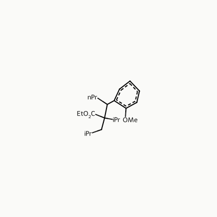 CCCC(c1ccccc1OC)C(CC(C)C)(C(=O)OCC)C(C)C